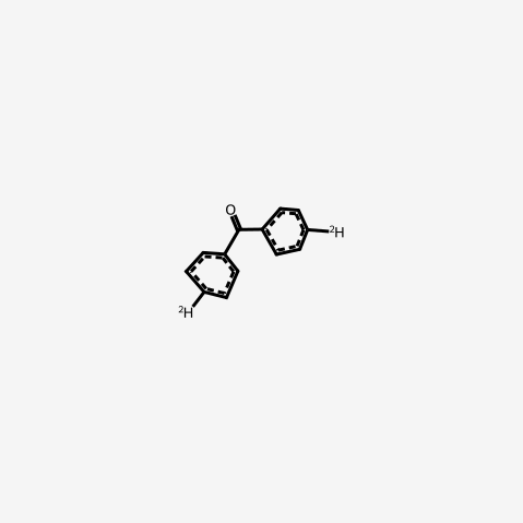 [2H]c1ccc(C(=O)c2ccc([2H])cc2)cc1